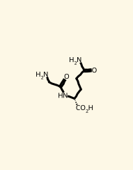 NCC(=O)N[C@H](CCC(N)=O)C(=O)O